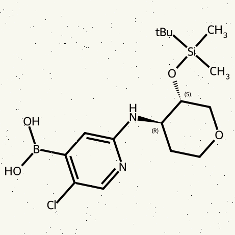 CC(C)(C)[Si](C)(C)O[C@@H]1COCC[C@H]1Nc1cc(B(O)O)c(Cl)cn1